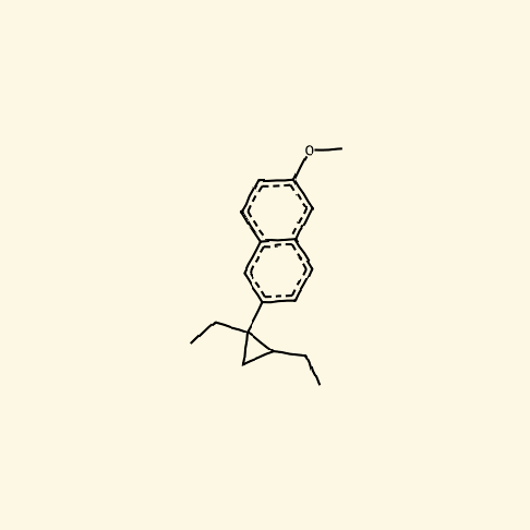 CCC1CC1(CC)c1ccc2cc(OC)ccc2c1